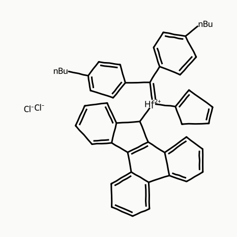 CCCCc1ccc([C](c2ccc(CCCC)cc2)=[Hf+2]([C]2=CC=CC2)[CH]2c3ccccc3-c3c2c2ccccc2c2ccccc32)cc1.[Cl-].[Cl-]